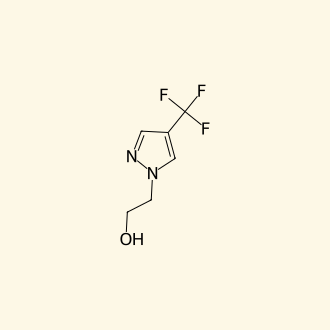 OCCn1cc(C(F)(F)F)cn1